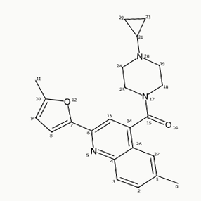 Cc1ccc2nc(-c3ccc(C)o3)cc(C(=O)N3CCN(C4CC4)CC3)c2c1